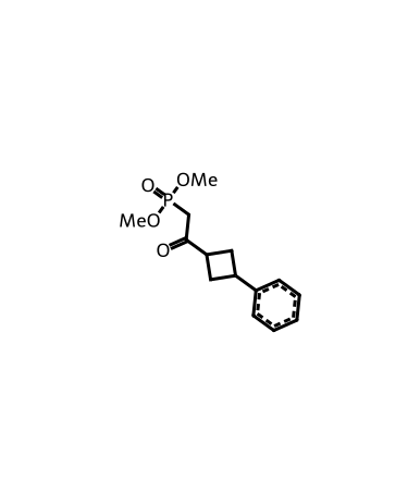 COP(=O)(CC(=O)C1CC(c2ccccc2)C1)OC